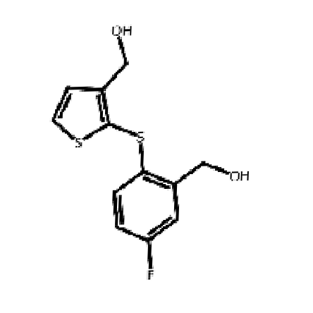 OCc1cc(F)ccc1Sc1sccc1CO